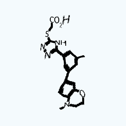 Cc1cc(-c2ccc3c(c2)OCCN3C)cc(-c2nnc(SCC(=O)O)[nH]2)c1